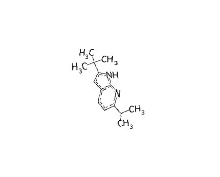 CC(C)c1ccc2cc(C(C)(C)C)[nH]c2n1